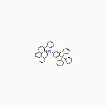 c1ccc(C2(c3ccccc3)c3ccccc3-c3cc(Nc4ccccc4-c4ccc5ccc6cccc7ccc4c5c67)ccc32)cc1